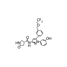 O=C1C[C@H](C(=O)Nc2cc(-c3cccc(COCC(F)(F)F)c3)n(-c3cccc(O)c3)n2)CN1